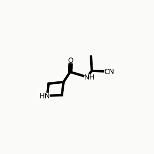 CC(C#N)NC(=O)C1CNC1